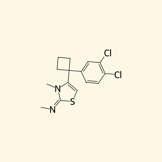 CN=c1scc(C2(c3ccc(Cl)c(Cl)c3)CCC2)n1C